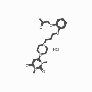 CC(=O)COc1ccccc1OCCCN1CCN(c2cc(=O)n(C)c(=O)n2C)CC1.Cl